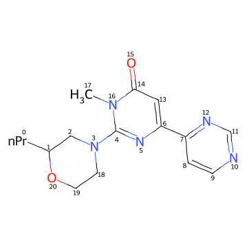 CCCC1CN(c2nc(-c3ccncn3)cc(=O)n2C)CCO1